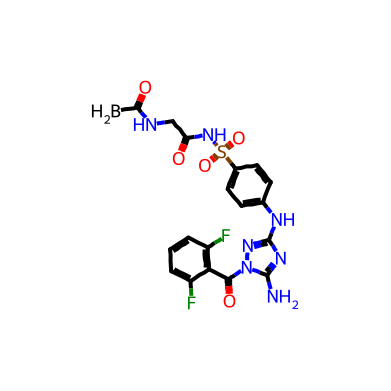 BC(=O)NCC(=O)NS(=O)(=O)c1ccc(Nc2nc(N)n(C(=O)c3c(F)cccc3F)n2)cc1